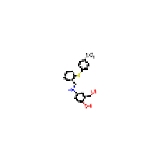 O=[N+]([O-])c1ccc(Sc2ccccc2CNc2ccc(O)c(CO)c2)cc1